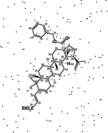 C=C(C)[C@@H]1CC[C@]2(C(=O)OCc3ccccc3)CC[C@]3(C)[C@H](CCC4[C@@]5(C)CC=C(/C=C/C(=O)OCC)C(C)(C)[C@@H]5CC[C@]43C)[C@@H]12